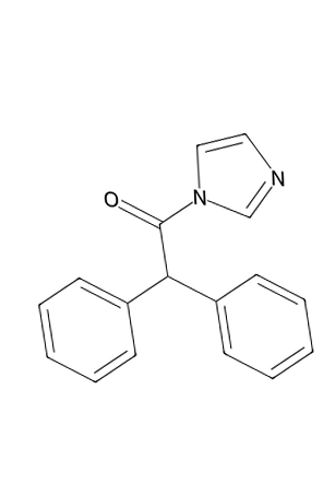 O=C(C(c1ccccc1)c1ccccc1)n1ccnc1